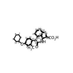 Cc1cc(OC2CCCCC2)ccc1N1C(=O)Nc2c(C(=O)O)sc3nccc1c23